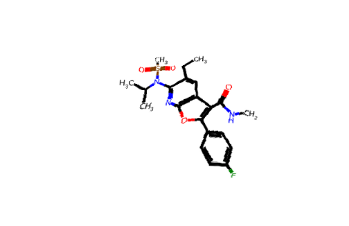 CCc1cc2c(C(=O)NC)c(-c3ccc(F)cc3)oc2nc1N(C(C)C)S(C)(=O)=O